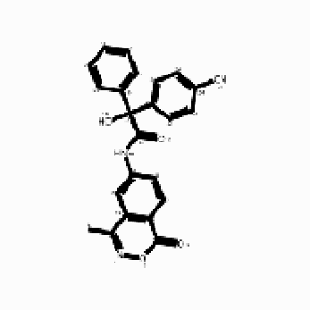 Cc1noc(=O)c2ccc(NC(=O)C(O)(c3ccccc3)c3ccc(C#N)cc3)cc12